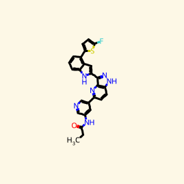 CCC(=O)Nc1cncc(-c2ccc3[nH]nc(-c4cc5c(-c6ccc(F)s6)cccc5[nH]4)c3n2)c1